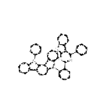 c1ccc(-c2nc(-c3ccccc3-n3c4ccccc4c4c3ccc3c5ccccc5n(-c5ccccc5)c34)nc3sc4ccccc4c23)cc1